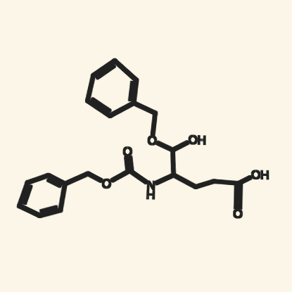 O=C(O)CCC(NC(=O)OCc1ccccc1)C(O)OCc1ccccc1